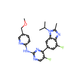 COCc1ccc(Nc2ncc(F)c(-c3cc(F)c4nc(C)n(C(C)C)c4c3)n2)nc1